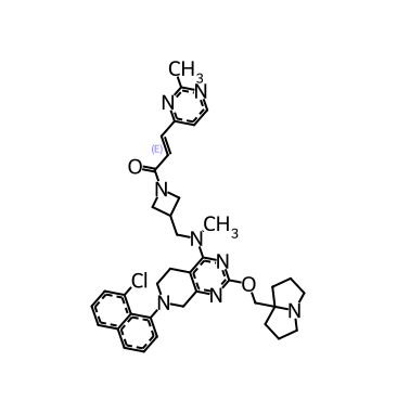 Cc1nccc(/C=C/C(=O)N2CC(CN(C)c3nc(OCC45CCCN4CCC5)nc4c3CCN(c3cccc5cccc(Cl)c35)C4)C2)n1